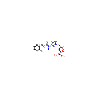 O=C(Nc1cnn(Cc2coc(C(O)O)n2)n1)OCc1ccccc1Cl